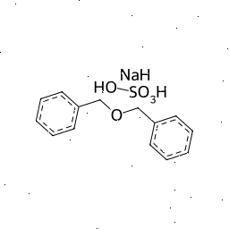 O=S(=O)(O)O.[NaH].c1ccc(COCc2ccccc2)cc1